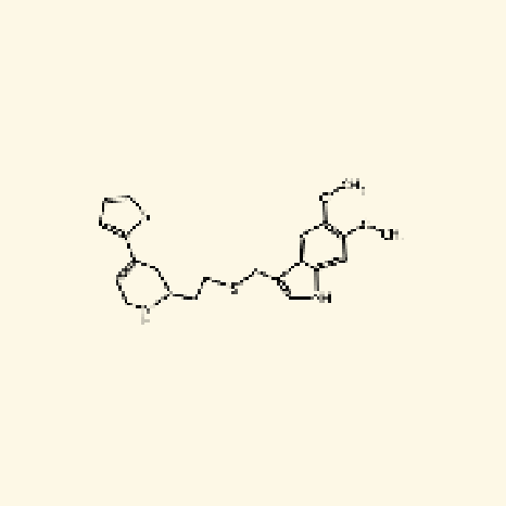 COc1cc2[nH]cc(CSCCC3CC(c4cccs4)=CCN3)c2cc1OC